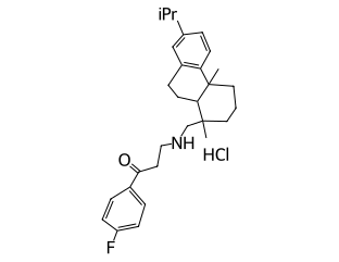 CC(C)c1ccc2c(c1)CCC1C(C)(CNCCC(=O)c3ccc(F)cc3)CCCC21C.Cl